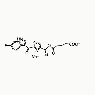 CC[C@H](OC(=O)CCCC(=O)[O-])c1csc(C(=O)c2c[nH]c3cc(F)ccc23)n1.[Na+]